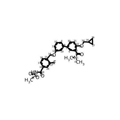 CN(C)C(=O)c1cc(-c2cccc(OCc3ccc(C(=O)NS(C)(=O)=O)cc3F)c2)ccc1OCC1CC1